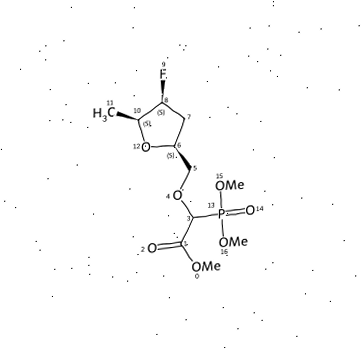 COC(=O)C(OC[C@@H]1C[C@H](F)[C@H](C)O1)P(=O)(OC)OC